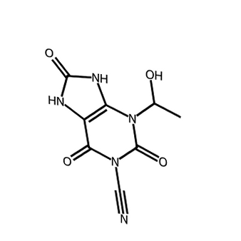 CC(O)n1c(=O)n(C#N)c(=O)c2[nH]c(=O)[nH]c21